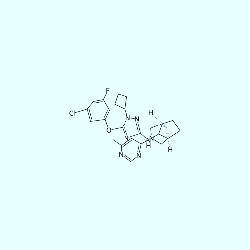 Cc1cc(N2C[C@H]3CC[C@@H](C2)C3Nc2nc(Oc3cc(F)cc(Cl)c3)n(C3CCC3)n2)ncn1